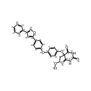 CCOCCC1(Oc2ccc(Oc3ccc(-c4nc(-c5cnccn5)no4)cc3)cc2)C(=O)NC(=O)NC1=O